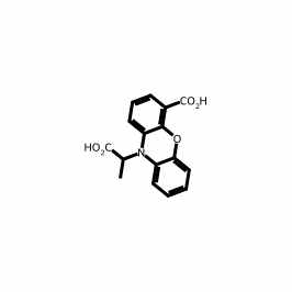 CC(C(=O)O)N1c2ccccc2Oc2c(C(=O)O)cccc21